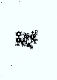 COc1ccc(C2CCCCC2)cc1-c1cnc(N2CC(OC)C2)nc1CN1C(=O)O[C@H](c2cc(C(F)(F)F)cc(C(F)(F)F)c2)[C@@H]1C